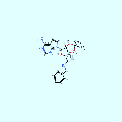 CC1(C)O[C@@H]2[C@@H](CNCc3ccccc3)OC(n3ccc4c(N)ncnc43)[C@@H]2O1